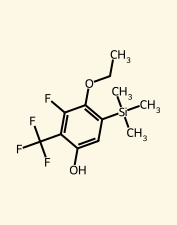 CCOc1c([Si](C)(C)C)cc(O)c(C(F)(F)F)c1F